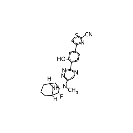 CN(c1cnc(-c2ccc(-c3csc(C#N)n3)cc2O)nn1)[C@H]1C[C@@H]2CCC[C@@H](N2)[C@H]1F